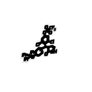 CC(C)[Si](OC1CCN([C@@H](c2c(Cl)cc(OS(=O)(=O)C(F)(F)F)cc2Cl)C2CCNC2=O)CC1)(C(C)C)C(C)C